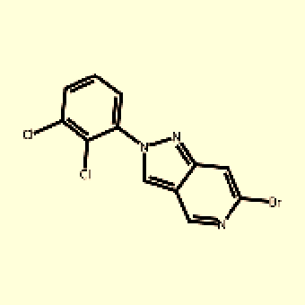 Clc1cccc(-n2cc3cnc(Br)cc3n2)c1Cl